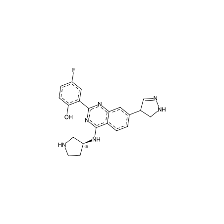 Oc1ccc(F)cc1-c1nc(N[C@H]2CCNC2)c2ccc(C3C=NNC3)cc2n1